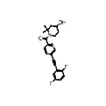 CC1(C)CC(O)CCN1C(=O)c1ccc(C#Cc2cc(F)ccc2F)cn1